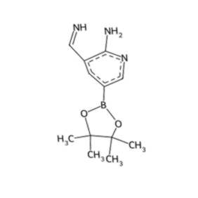 CC1(C)OB(c2cnc(N)c(C=N)c2)OC1(C)C